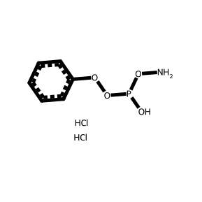 Cl.Cl.NOP(O)OOc1ccccc1